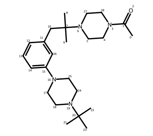 CC(=O)N1CCN(C(C)(C)Cc2cccc(N3CCN(C(C)(C)C)CC3)c2)CC1